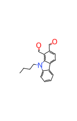 CCCCn1c2ccccc2c2ccc(C=O)c(C=O)c21